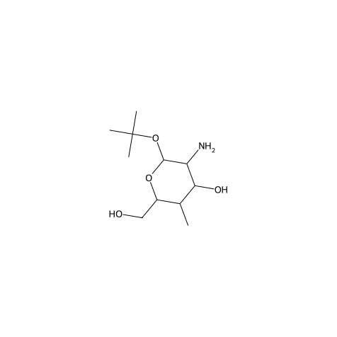 CC1C(CO)OC(OC(C)(C)C)C(N)C1O